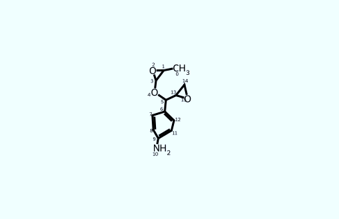 CC1OC1OC(c1ccc(N)cc1)C1CO1